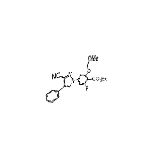 CCOC(=O)c1c(F)cc(N2CC(c3ccccc3)C(C#N)=N2)cc1OCOC